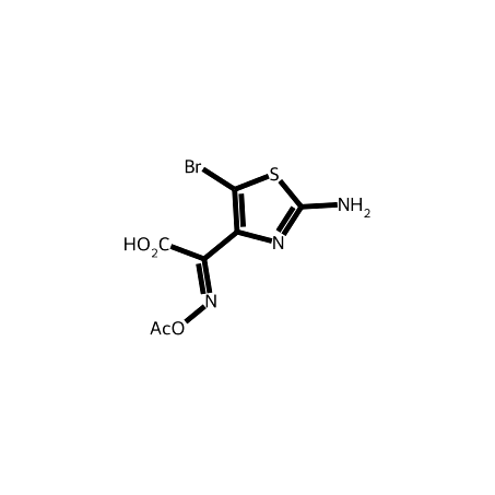 CC(=O)ON=C(C(=O)O)c1nc(N)sc1Br